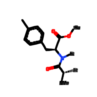 CC[C@H](NC)C(=O)N(CC)[C@@H](Cc1ccc(C)cc1)C(=O)OC(C)(C)C